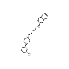 Clc1cccc(N2CCN(CCCCCOc3cc4ccccc4cn3)CC2)c1